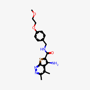 COCCOc1ccc(CNC(=O)c2sc3nnc(C)c(C)c3c2N)cc1